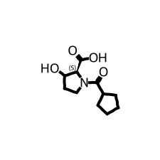 O=C(O)[C@@H]1C(O)CCN1C(=O)C1CCCC1